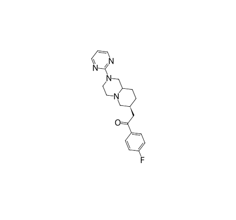 O=C(C[C@@H]1CCC2CN(c3ncccn3)CCN2C1)c1ccc(F)cc1